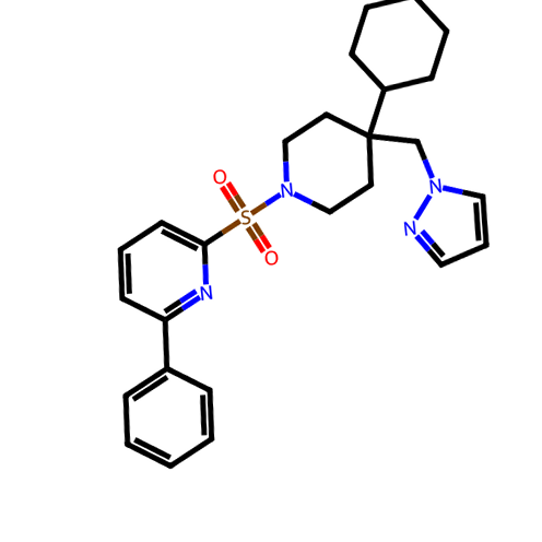 O=S(=O)(c1cccc(-c2ccccc2)n1)N1CCC(Cn2cccn2)(C2CCCCC2)CC1